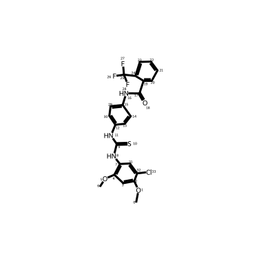 COc1cc(OC)c(NC(=S)Nc2ccc(NC(=O)c3ccccc3C(F)(F)F)cc2)cc1Cl